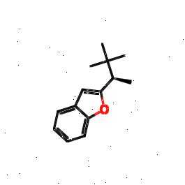 C[C@@H](c1cc2ccccc2o1)C(C)(C)C